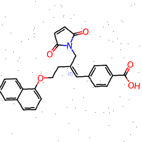 O=C(O)c1ccc(/C=C(/CCOc2cccc3ccccc23)CN2C(=O)C=CC2=O)cc1